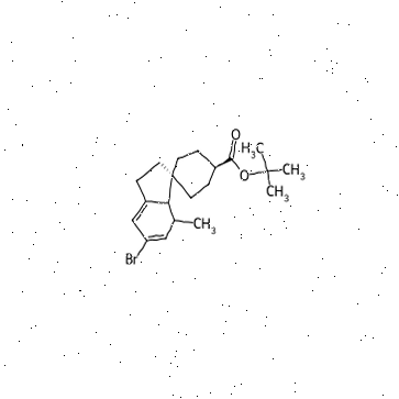 CC1C=C(Br)C=C2CC[C@]3(CC[C@H](C(=O)OC(C)(C)C)CC3)C21